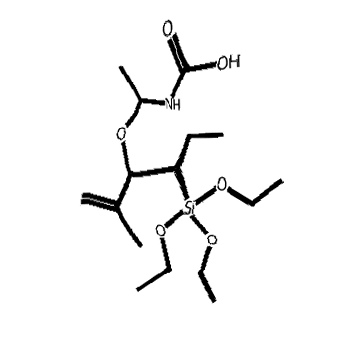 C=C(C)C(OC(C)NC(=O)O)C(CC)[Si](OCC)(OCC)OCC